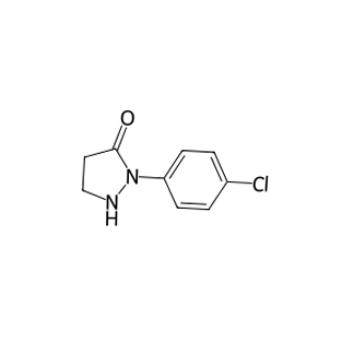 O=C1CCNN1c1ccc(Cl)cc1